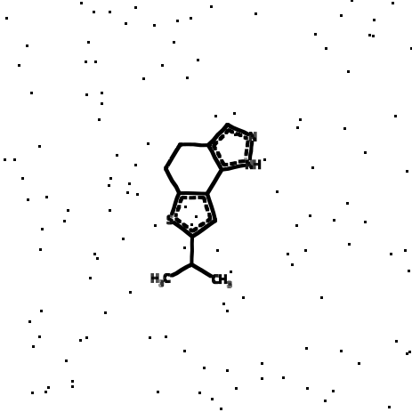 CC(C)c1cc2c(s1)CCc1cn[nH]c1-2